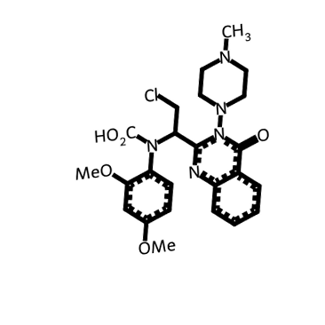 COc1ccc(N(C(=O)O)C(CCl)c2nc3ccccc3c(=O)n2N2CCN(C)CC2)c(OC)c1